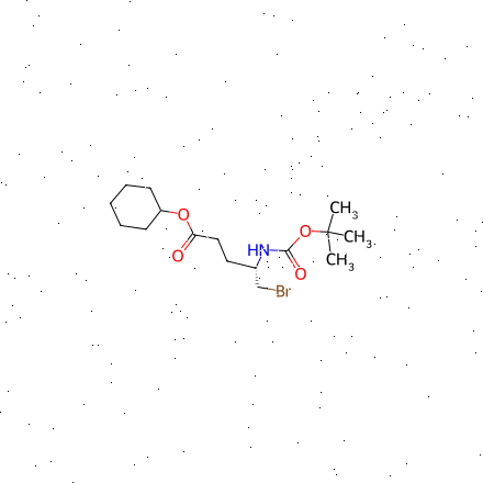 CC(C)(C)OC(=O)N[C@H](CBr)CCC(=O)OC1CCCCC1